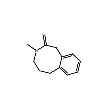 CN1CCCc2ccccc2CC1=O